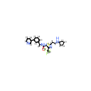 CC(NC(=O)c1sc(CCNC2CCCC2)nc1C(F)(F)F)c1cccc(-c2cccnc2)c1